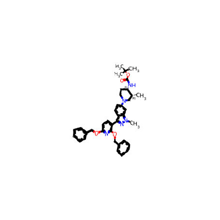 C[C@@H]1CN(c2ccc3c(-c4ccc(OCc5ccccc5)nc4OCc4ccccc4)nn(C)c3c2)CC[C@@H]1NC(=O)OC(C)(C)C